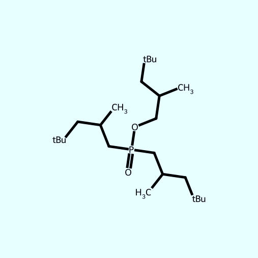 CC(COP(=O)(CC(C)CC(C)(C)C)CC(C)CC(C)(C)C)CC(C)(C)C